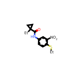 CCSc1ccc(NC(=O)C2(CC)CC2)cc1[N+](=O)[O-]